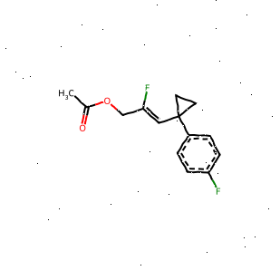 CC(=O)OCC(F)=CC1(c2ccc(F)cc2)CC1